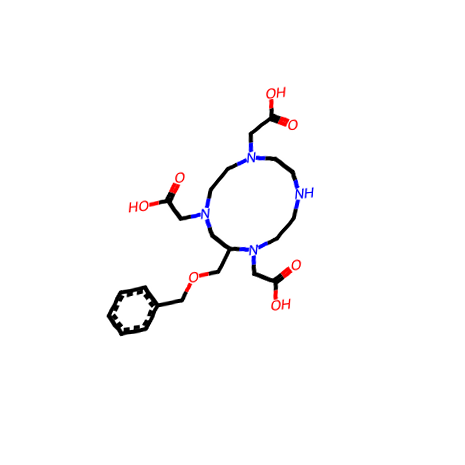 O=C(O)CN1CCNCCN(CC(=O)O)C(COCc2ccccc2)CN(CC(=O)O)CC1